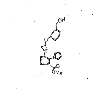 COC(=O)c1cccc(N2CC(Oc3cccc(CO)c3)C2)c1-n1cccc1